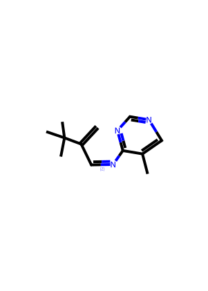 C=C(/C=N\c1ncncc1C)C(C)(C)C